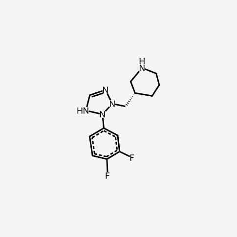 Fc1ccc(N2NC=NN2C[C@H]2CCCNC2)cc1F